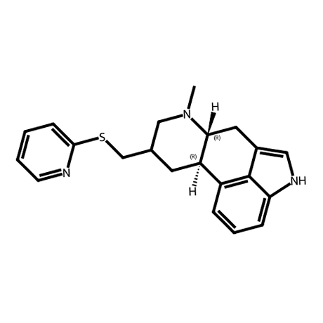 CN1CC(CSc2ccccn2)C[C@@H]2c3cccc4[nH]cc(c34)C[C@H]21